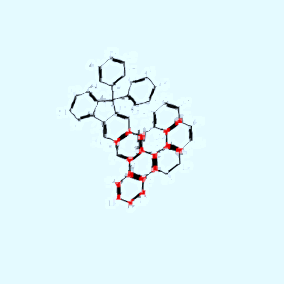 c1ccc(-c2ccccc2-c2c(-c3ccccc3)cccc2-c2ccccc2N(c2ccc3c(c2)C(c2ccccc2)(c2ccccc2)c2ccccc2-3)c2ccccc2-c2ccccc2)cc1